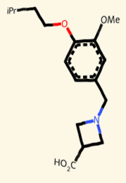 COc1cc(CN2CC(C(=O)O)C2)ccc1OCCC(C)C